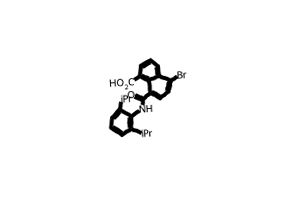 CC(C)c1cccc(C(C)C)c1NC(=O)c1ccc(Br)c2cccc(C(=O)O)c12